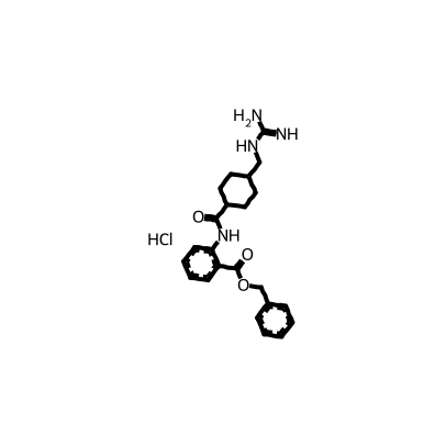 Cl.N=C(N)NCC1CCC(C(=O)Nc2ccccc2C(=O)OCc2ccccc2)CC1